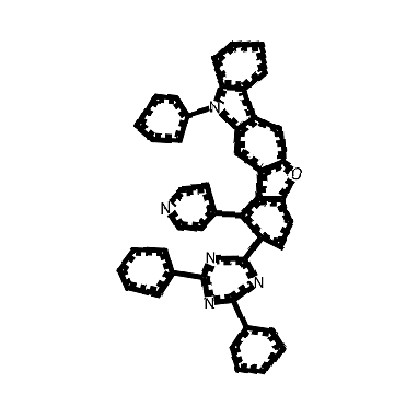 c1ccc(-c2nc(-c3ccccc3)nc(-c3ccc4oc5cc6c7ccccc7n(-c7ccccc7)c6cc5c4c3-c3ccncc3)n2)cc1